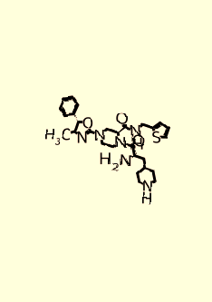 CC1N=C(N2CCN(C(=O)[C@H](N)CC3CCNCC3)[C@H](C(=O)NCc3cccs3)C2)O[C@H]1c1ccccc1